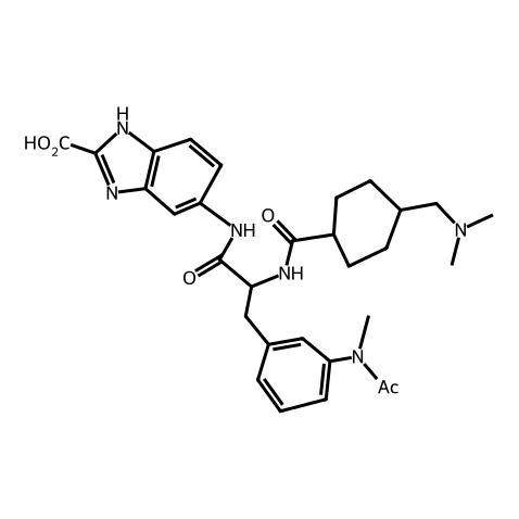 CC(=O)N(C)c1cccc(CC(NC(=O)C2CCC(CN(C)C)CC2)C(=O)Nc2ccc3[nH]c(C(=O)O)nc3c2)c1